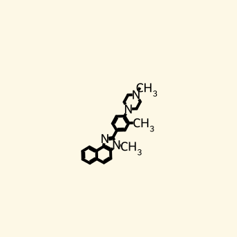 Cc1cc(-c2nc3c4ccccc4ccc3n2C)ccc1N1CCN(C)CC1